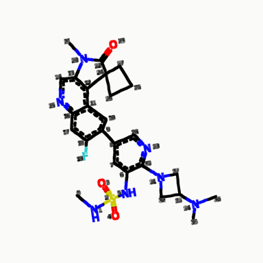 CNS(=O)(=O)Nc1cc(-c2cc3c4c(cnc3cc2F)N(C)C(=O)C42CCC2)cnc1N1CC(N(C)C)C1